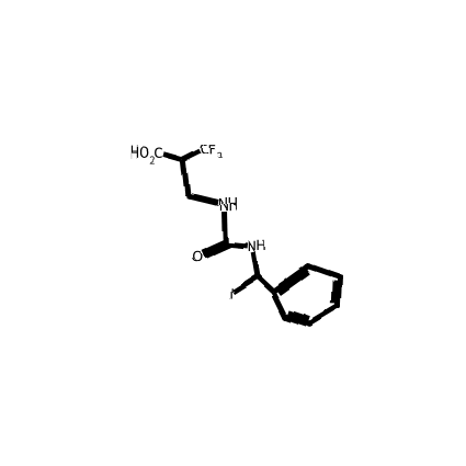 O=C(NCC(C(=O)O)C(F)(F)F)NC(I)c1ccccc1